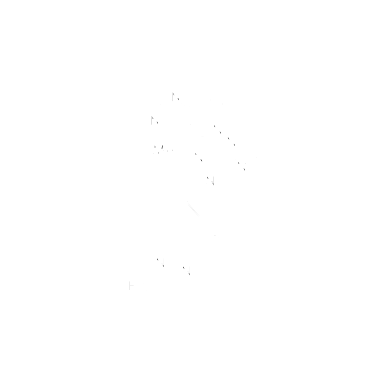 COc1ncnc(C2CC2)c1-c1nc(NCc2ccc3c(c2)OCCn2cc(C(F)(F)F)nc2-3)c2nccn2n1